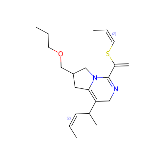 C=C(S/C=C\C)C1=NCC(C(C)/C=C\C)=C2CC(COCCC)CN12